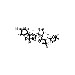 CC(C)(C)OC(=O)N[C@H](C(=O)N1CCC[C@H]1C(=O)N[C@H](c1ccc(Br)cc1)C(F)(F)F)C(C)(C)C